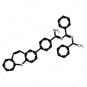 CC(/N=C(\N=C(/N)c1ccc(-c2ccc3c(c2)C=Cc2ccccc2S3)cc1)c1ccccc1)c1ccccc1